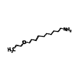 CCCOCCCCCCCCCCN